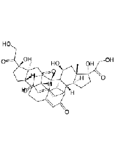 C[C@]12CCC(=O)C=C1CC[C@H]1[C@@H]3CC[C@](O)(C(=O)CO)[C@@]3(C)C[C@H](O)[C@@]12C1CC(=O)C=C2CC[C@H]3[C@@H]4CC[C@](O)(C(=O)CO)[C@@]4(C)CC(=O)[C@@H]3[C@]21C